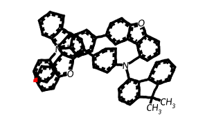 CC1(C)c2ccccc2-c2c(N(c3ccc(-c4cccc5c4oc4ccccc45)cc3)c3cccc4oc5ccc(-c6ccc7c(c6)c6ccccc6n7-c6ccccc6)cc5c34)cccc21